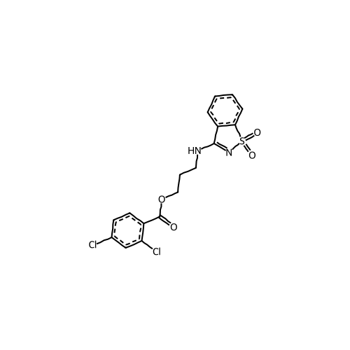 O=C(OCCCNC1=NS(=O)(=O)c2ccccc21)c1ccc(Cl)cc1Cl